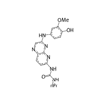 CCCNC(=O)Nc1ccc2ncc(Nc3ccc(O)c(OC)c3)nc2n1